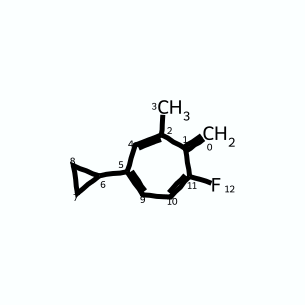 C=C1C(C)=CC(C2CC2)=CC=C1F